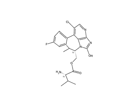 CC(C)[C@H](N)C(=O)OC[C@H](C(C)C)n1c(O)nc2ncc(Cl)c(-c3ccc(F)cc3)c21